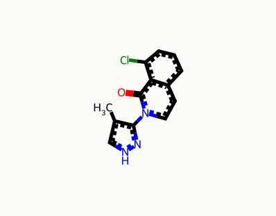 Cc1c[nH]nc1-n1ccc2cccc(Cl)c2c1=O